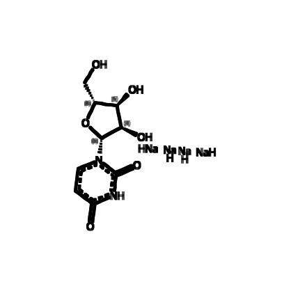 O=c1ccn([C@@H]2O[C@H](CO)[C@@H](O)[C@H]2O)c(=O)[nH]1.[NaH].[NaH].[NaH].[NaH]